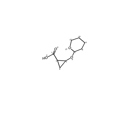 O=C(O)C1CC1OC1CCCCO1